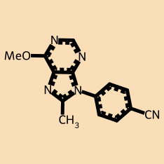 COc1ncnc2c1nc(C)n2-c1ccc(C#N)cc1